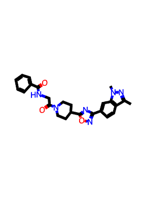 Cc1nn(C)c2cc(-c3noc(C4CCN(C(=O)CNC(=O)c5ccccc5)CC4)n3)ccc12